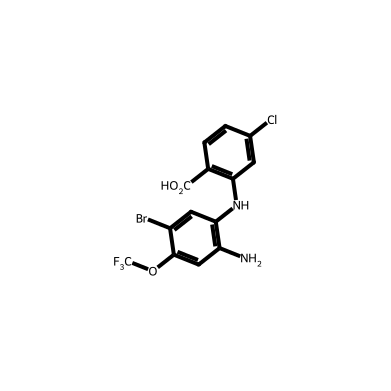 Nc1cc(OC(F)(F)F)c(Br)cc1Nc1cc(Cl)ccc1C(=O)O